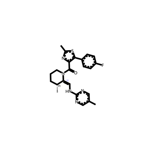 Cc1cnc(N/C=C2\[C@H](C)CCCN2C(=O)c2nc(C)sc2-c2ccc(F)cc2)nc1